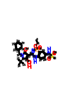 CCOP1(=O)N=C(C2=C(O)[C@H](C(C)(C)C)N(Cc3ccccc3)C2=O)Nc2ccc(NS(C)(=O)=O)cc21